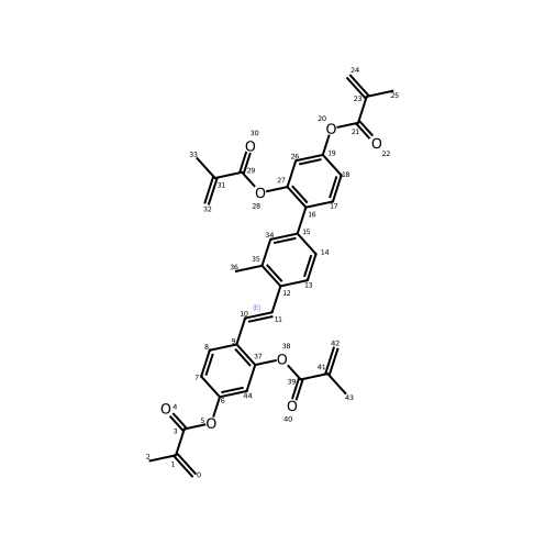 C=C(C)C(=O)Oc1ccc(/C=C/c2ccc(-c3ccc(OC(=O)C(=C)C)cc3OC(=O)C(=C)C)cc2C)c(OC(=O)C(=C)C)c1